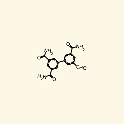 NC(=O)c1cc(C=O)cc(-c2cc(C(N)=O)cc(C(N)=O)c2)c1